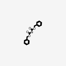 O=C([N]C(=O)OCc1ccccc1)OCc1ccccc1